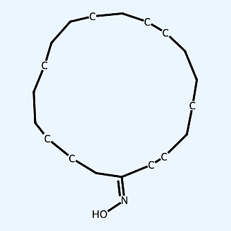 ON=C1CCCCCCCCCCCCCCCCCC1